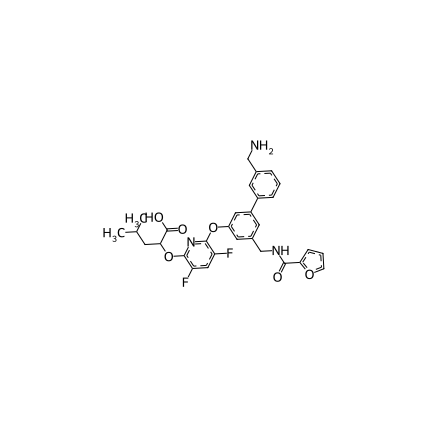 CC(C)CC(Oc1nc(Oc2cc(CNC(=O)c3ccco3)cc(-c3cccc(CN)c3)c2)c(F)cc1F)C(=O)O